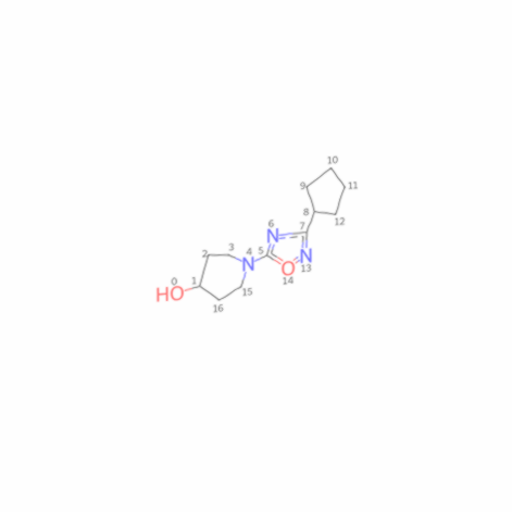 OC1CCN(c2nc(C3CCCC3)no2)CC1